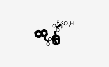 O=C(Cc1cccc2ccccc12)OC12CC3CC(CC(COC(=O)C(F)(F)S(=O)(=O)O)(C3)C1)C2